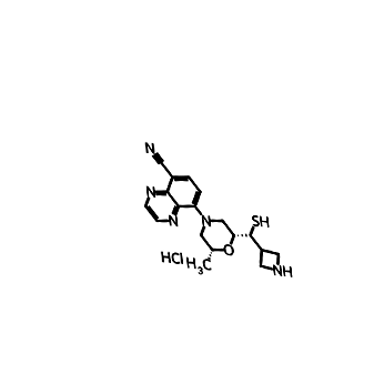 C[C@@H]1CN(c2ccc(C#N)c3nccnc23)C[C@H](C(S)C2CNC2)O1.Cl